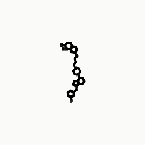 O=C1CCc2ccc(OCCCN3CCN(c4cccc5c4ccn5Cc4cccc(F)c4)CC3)cc2N1